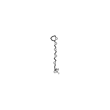 CNCCOCCOCCOCCOC1CCCCO1